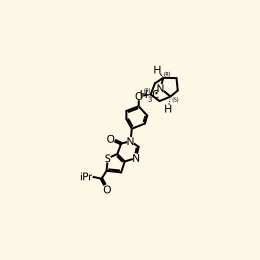 CC(C)C(=O)c1cc2ncn(-c3ccc(O[C@H]4C[C@H]5CC[C@@H](C4)N5C)cc3)c(=O)c2s1